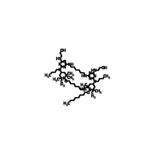 CCCCCCCCON1C(C)(C)CC(N(CCCC)c2nc(NCCO)nc(NCCCCCCNc3nc(NCCO)nc(N(CCCC)C4CC(C)(C)N(OCCCCCCCC)C(C)(C)C4)n3)n2)CC1(C)C